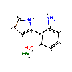 Br.Nc1ccccc1-c1cscn1.O